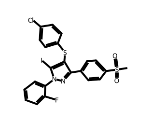 CS(=O)(=O)c1ccc(-c2nn(-c3ccccc3F)c(I)c2Sc2ccc(Cl)cc2)cc1